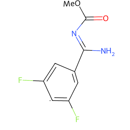 COC(=O)N=C(N)c1cc(F)[c]c(F)c1